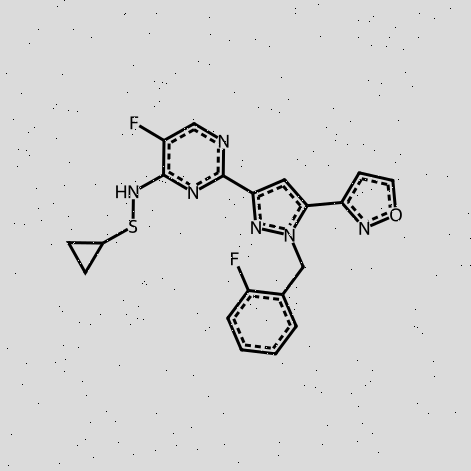 Fc1ccccc1Cn1nc(-c2ncc(F)c(NSC3CC3)n2)cc1-c1ccon1